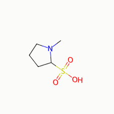 CN1CCCC1S(=O)(=O)O